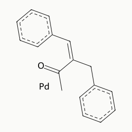 CC(=O)C(=Cc1ccccc1)Cc1ccccc1.[Pd]